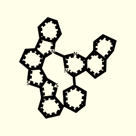 c1ccc(-c2nc(-n3c4ccccc4c4ccc5sc6c7ccccc7sc6c5c43)nc3c2ccc2ccccc23)cc1